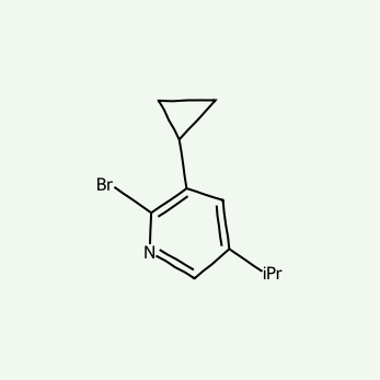 CC(C)c1cnc(Br)c(C2CC2)c1